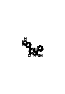 O=c1cc(-c2ccc3[nH]nnc3c2)[nH]c2c(-c3ccccn3)c(O)nn12